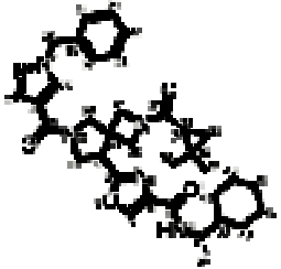 C[C@H](NC(=O)c1coc(C2CN(C(=O)c3cnn(Cc4ccccc4)c3)CC23CN(C(=O)[C@H]2CC2(C)C)C3)n1)C1CCCCC1